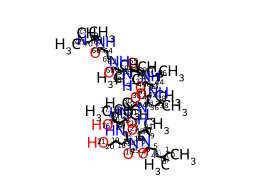 CC[C@H](C)/C=C/C(=O)N1C[C@@H](C)C[C@H]1N(C=O)[C@@H](CCCO)C(=O)N[C@H](C(=O)NC(C)(C)C(=O)N[C@@H](CC(C)C)C(=O)N[C@@H](CC(C)C)C(=O)NC(C)(C)C(=O)NC(C)(C)C(=O)NCCC(=O)N[C@@H](C)CN(C)C)[C@H](O)C(C)C